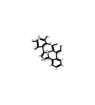 C/C=c1\c(=C/C)n2c(-c3c(C)c(C)nc(C)c3C)cnc2c2ccccc12